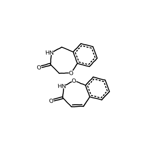 O=C1C=Cc2ccccc2ON1.O=C1COc2ccccc2CN1